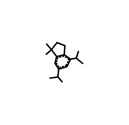 CC(C)c1cc(C(C)C)c2c(c1)C(C)(C)CC2